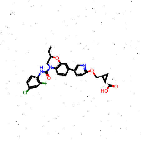 CCC1CN(C(=O)Nc2ccc(Cl)cc2F)c2ccc(-c3ccc(OC[C@H]4C[C@@H]4C(=O)O)nc3)cc2O1